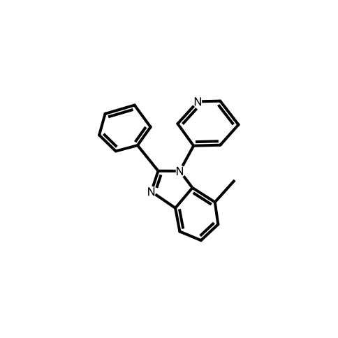 Cc1cccc2nc(-c3ccccc3)n(-c3cccnc3)c12